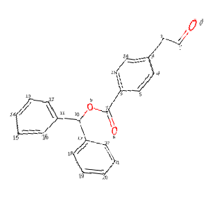 O=[C]Cc1ccc(C(=O)OC(c2ccccc2)c2ccccc2)cc1